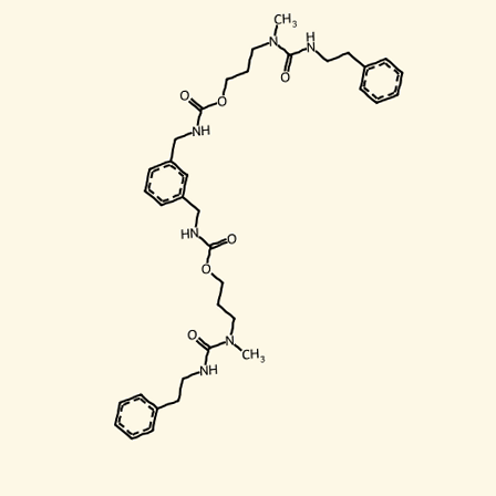 CN(CCCOC(=O)NCc1cccc(CNC(=O)OCCCN(C)C(=O)NCCc2ccccc2)c1)C(=O)NCCc1ccccc1